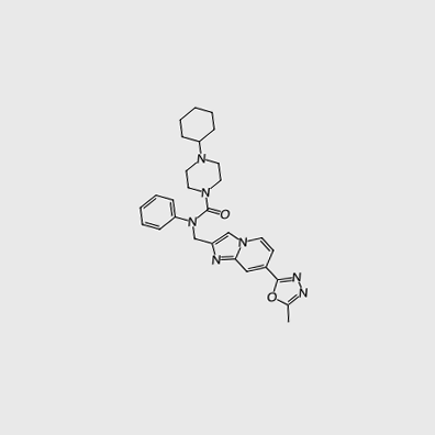 Cc1nnc(-c2ccn3cc(CN(C(=O)N4CCN(C5CCCCC5)CC4)c4ccccc4)nc3c2)o1